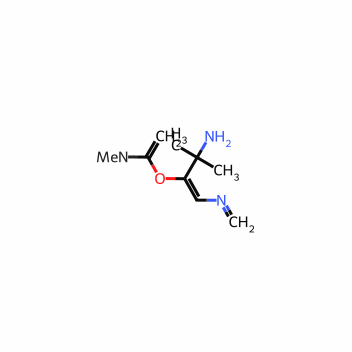 C=N/C=C(/OC(=C)NC)C(C)(C)N